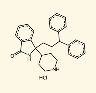 Cl.O=C1NC(CCC(c2ccccc2)c2ccccc2)(C2CCNCC2)c2ccccc21